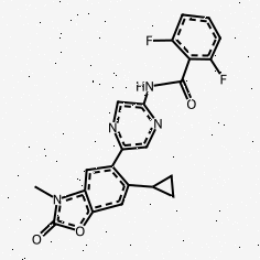 Cn1c(=O)oc2cc(C3CC3)c(-c3cnc(NC(=O)c4c(F)cccc4F)cn3)cc21